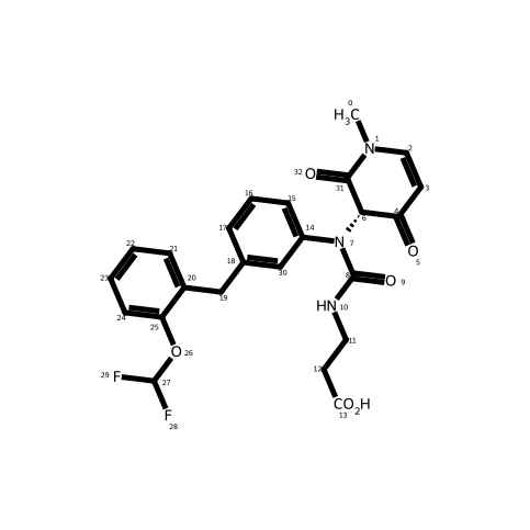 CN1C=CC(=O)[C@H](N(C(=O)NCCC(=O)O)c2cccc(Cc3ccccc3OC(F)F)c2)C1=O